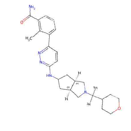 [2H]C([2H])(C1CCOCC1)N1C[C@H]2CC(Nc3ccc(-c4cccc(C(N)=O)c4C)nn3)C[C@H]2C1